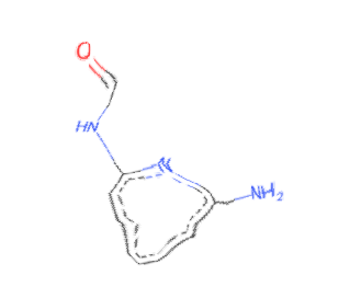 Nc1cccc(NC=O)n1